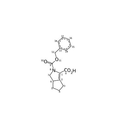 O=C(O)C1=C2CCCC2CN1C(=O)OCc1ccccc1